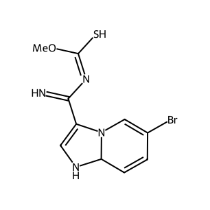 CO/C(S)=N\C(=N)C1=CNC2C=CC(Br)=CN12